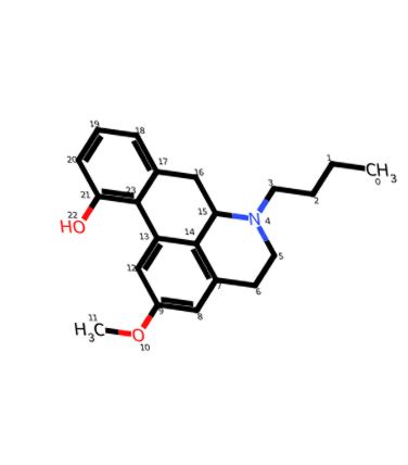 CCCCN1CCc2cc(OC)cc3c2C1Cc1cccc(O)c1-3